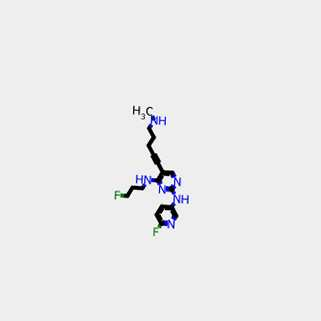 CNCCCC#Cc1cnc(Nc2ccc(F)nc2)nc1NCCCF